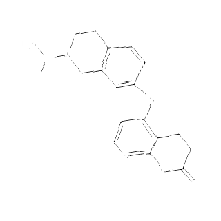 N[S+]([O-])N1CCc2ccc(Nc3ccnc4c3CCC(=O)N4)cc2C1